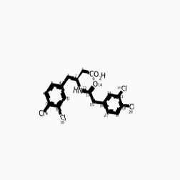 O=C(O)C[C@H](Cc1ccc(Cl)c(Cl)c1)NC(=O)Cc1ccc(Cl)c(Cl)c1